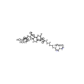 CCCCC/C=C\C/C=C\CCCCCCCC(=O)OCC(C)CC1C(OC(=O)CCC(OCCCCCCCC)OCCCCCCCC)C(C(=O)O)CCN1C(C)C